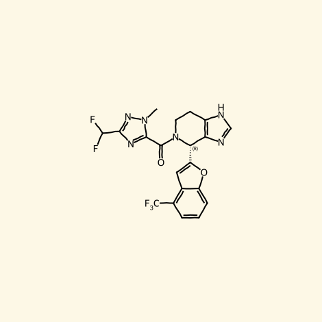 Cn1nc(C(F)F)nc1C(=O)N1CCc2[nH]cnc2[C@@H]1c1cc2c(C(F)(F)F)cccc2o1